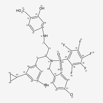 CC(C)(C)c1cc(CC(CCNc2ccc(C(=O)O)c(O)c2)N(Cc2ccc(Cl)cc2)S(=O)(=O)c2c(F)c(F)c(F)c(F)c2F)cc(C2CC2)c1